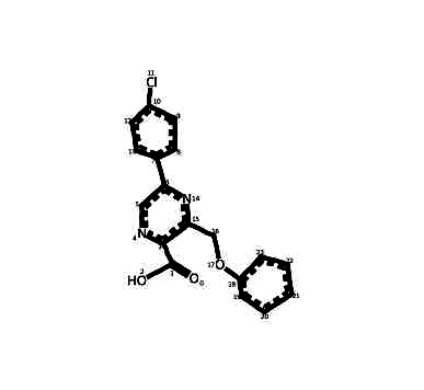 O=C(O)c1ncc(-c2ccc(Cl)cc2)nc1COc1ccccc1